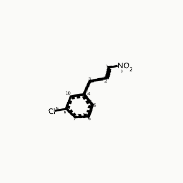 O=[N+]([O-])C=CCc1cccc(Cl)c1